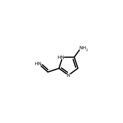 N=Cc1ncc(N)[nH]1